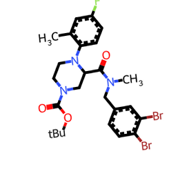 Cc1cc(F)ccc1N1CCN(C(=O)OC(C)(C)C)CC1C(=O)N(C)Cc1ccc(Br)c(Br)c1